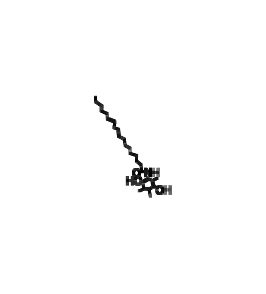 CCC=CCC=CCC=CCCCCCCCC(=O)Nc1c(C)c(O)c(C)c(C)c1O